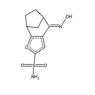 NS(=O)(=O)c1cc2c(o1)C1CCC(C1)C2=NO